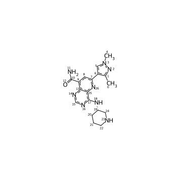 Cc1nn(C)cc1-c1cc(C(N)=O)c2ncnc(N[C@H]3CCCNC3)c2n1